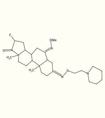 CO/N=C1\CC2C3CC(F)C(=O)C3(C)CCC2C2(C)CC/C(=N/OCCN3CCCCC3)CC12